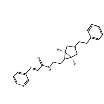 O=C(/C=C/c1cccnc1)NCCC1[C@H]2CN(CCc3ccccc3)C[C@@H]12